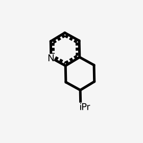 CC(C)C1CCc2cccnc2C1